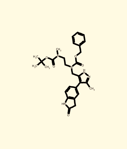 Cc1n[nH]c(CN(CCN(C)C(=O)OC(C)(C)C)C(=O)OCc2ccccc2)c1-c1ccc2c(c1)CC(=O)N2